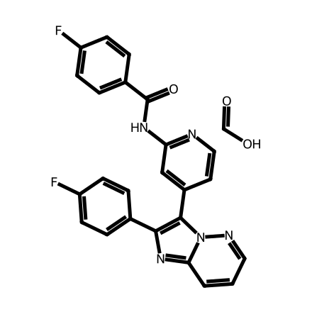 O=C(Nc1cc(-c2c(-c3ccc(F)cc3)nc3cccnn23)ccn1)c1ccc(F)cc1.O=CO